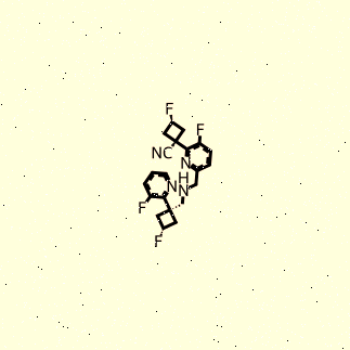 N#C[C@]1(c2nc(CNC[C@]3(c4ncccc4F)C[C@H](F)C3)ccc2F)C[C@H](F)C1